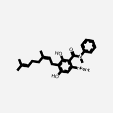 CCCCCc1cc(O)c(CC=C(C)CCC=C(C)C)c(O)c1C(=O)N(C)c1ccccc1